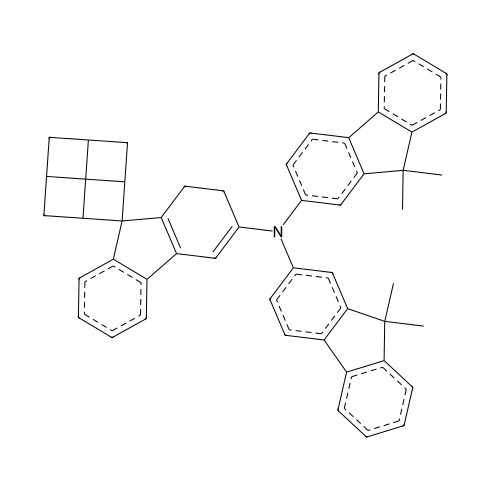 CC1(C)c2ccccc2-c2ccc(N(C3=CC4=C(CC3)C3(c5ccccc54)C4CC5CC6CC3C564)c3ccc4c(c3)C(C)(C)c3ccccc3-4)cc21